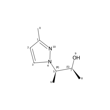 Cc1ccn([C@H](C)[C@H](C)O)n1